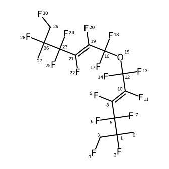 CC(F)(CF)C(F)(F)C(F)=C(F)C(F)(F)OC(F)(F)C(F)=C(F)C(F)(F)C(C)(F)CF